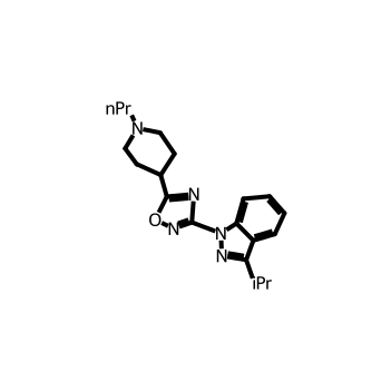 CCCN1CCC(c2nc(-n3nc(C(C)C)c4ccccc43)no2)CC1